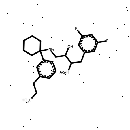 CC(=O)NC(Cc1cc(F)cc(F)c1)C(O)CNC1(c2cccc(CCC(=O)O)c2)CCCCC1